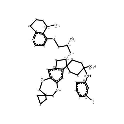 C[C@@H](COc1ccnc2c1[C@H](C)CCC2)C[C@H]1Cc2cc3c(cc2C12CCC(Nc1cccc(Cl)c1)(C(=O)O)CC2)OCC1(CCC1)CO3